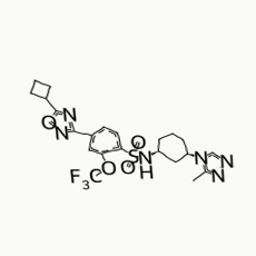 Cc1nncn1[C@@H]1CCC[C@H](NS(=O)(=O)c2ccc(-c3noc(C4CCC4)n3)cc2OC(F)(F)F)C1